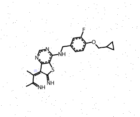 CC(=N)/C(C)=C1\C(=N)Sc2c(NCc3ccc(OCC4CC4)c(F)c3)ncnc21